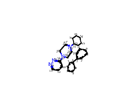 c1ccc(-c2ccccc2)cc1.c1cnnc(N2CCN(C3CCCCC3)CC2)c1